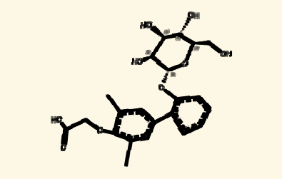 Cc1cc(-c2ccccc2O[C@H]2O[C@H](CO)[C@@H](O)[C@H](O)[C@@H]2O)cc(C)c1OCC(=O)O